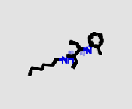 C=CC(=C\NCCCCCC)/C(C=C)=N/c1ccccc1C